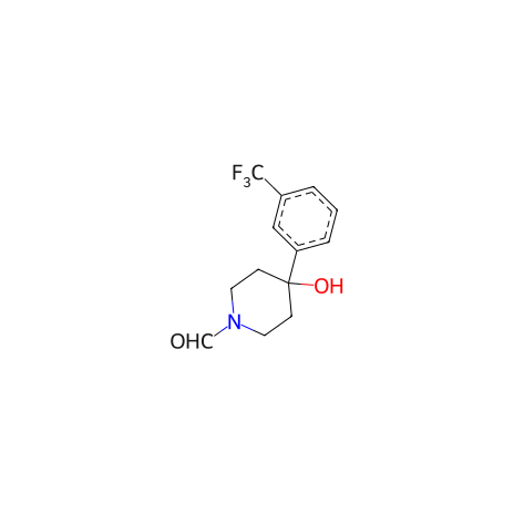 O=CN1CCC(O)(c2cccc(C(F)(F)F)c2)CC1